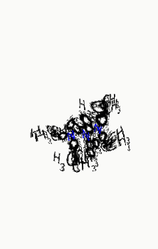 C[Si](C)(C)c1ccc(N(c2ccc([Si](C)(C)C)cc2)c2cc3c(c4ccccc24)c2c4ccccc4c(N(c4ccc([Si](C)(C)C)cc4)c4ccc([Si](C)(C)C)cc4)cc2n3-c2cc3ccccc3c3ccccc23)cc1